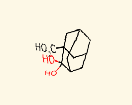 O=C(O)C12CC3CC(CC(C3)C1(O)O)C2